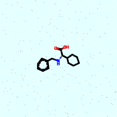 O=C(O)[C@@H](NCc1ccccc1)C1CCCCC1